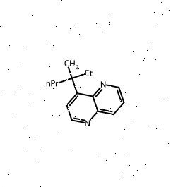 CCCC(C)(CC)c1ccnc2cccnc12